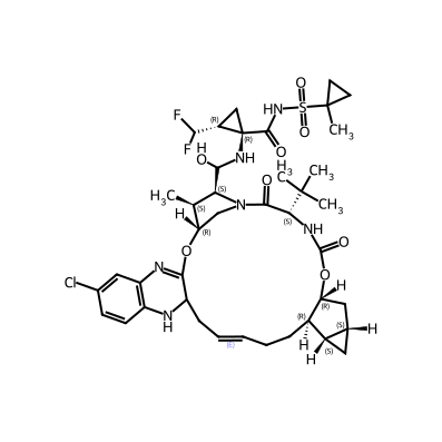 C[C@@H]1[C@@H]2CN(C(=O)[C@H](C(C)(C)C)NC(=O)O[C@@H]3C[C@@H]4C[C@@H]4[C@H]3CC/C=C/CC3Nc4ccc(Cl)cc4N=C3O2)[C@@H]1C(O)N[C@]1(C(=O)NS(=O)(=O)C2(C)CC2)C[C@H]1C(F)F